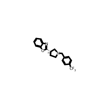 FC(F)(F)c1ccc(CN2CC[C@H](c3nc4ccccc4o3)C2)cc1